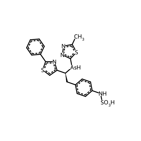 Cc1nnc([AsH][C@@H](Cc2ccc(NS(=O)(=O)O)cc2)c2csc(-c3ccccc3)n2)s1